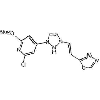 COc1cc(N2C=CN(C=Cc3nnco3)N2)cc(Cl)n1